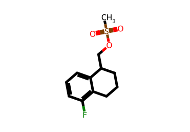 CS(=O)(=O)OCC1CCCc2c(F)cccc21